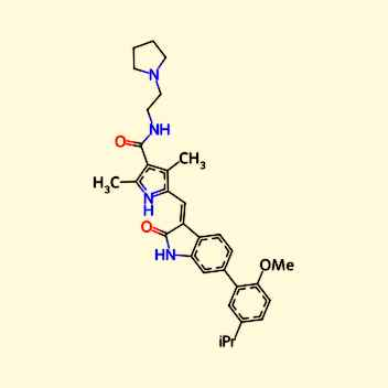 COc1ccc(C(C)C)cc1-c1ccc2c(c1)NC(=O)/C2=C\c1[nH]c(C)c(C(=O)NCCN2CCCC2)c1C